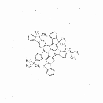 CC(C)(C)c1ccc(N2B3c4cc5oc6ccccc6c5cc4-n4c5ccc(C(C)(C)C)cc5c5c6c(c(c3c54)-c3cc4c(cc32)-c2ccccc2C4(C)C)-c2ccccc2C6(C)C)cc1